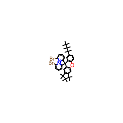 CC(C)(C)C(C)(C)C(C)(C)c1ccc2c(c1)C(c1cccc(Br)n1)(c1cccc(Br)n1)c1cc3c(cc1O2)C(C)(C)C(C)(C)C3(C)C